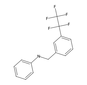 FC(F)(F)C(F)(F)c1cccc(C[N]c2ccccc2)c1